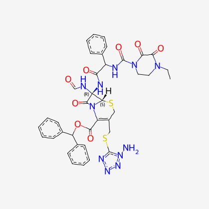 CCN1CCN(C(=O)NC(C(=O)N[C@]2(NC=O)C(=O)N3C(C(=O)OC(c4ccccc4)c4ccccc4)=C(CSc4nnnn4N)CS[C@H]32)c2ccccc2)C(=O)C1=O